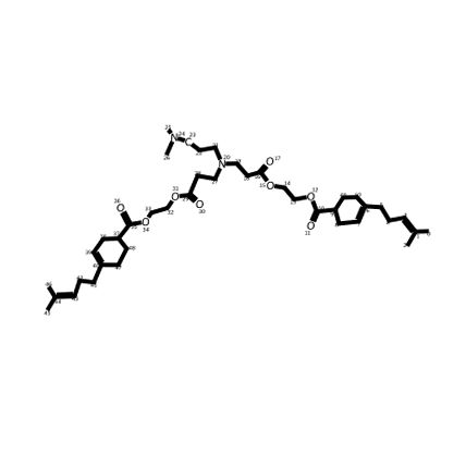 CC(C)=CCCC1=CCC(C(=O)OCCOC(=O)CCN(CCCN(C)C)CCC(=O)OCCOC(=O)C2CC=C(CCC=C(C)C)CC2)CC1